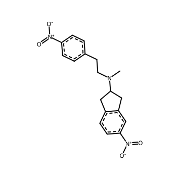 CN(CCc1ccc([N+](=O)[O-])cc1)C1Cc2ccc([N+](=O)[O-])cc2C1